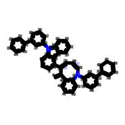 C=C1/C(c2cccc3c2c2ccccc2n3-c2cccc(-c3ccccc3)c2)=C\C=C/N(c2cccc(C3=CC=CCC3)c2)c2ccccc21